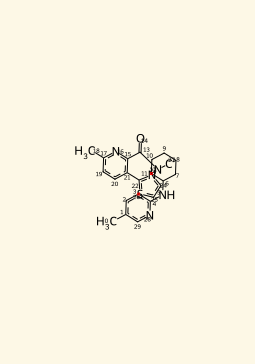 Cc1ccc(NC2CC3CCC2N(C(=O)c2nc(C)ccc2-c2nccs2)C3)nc1